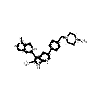 Cc1[nH]c2ncc(-c3ccc(CN4CCN(C)CC4)cc3)cc2c1-c1cc2cc[nH]c2cn1